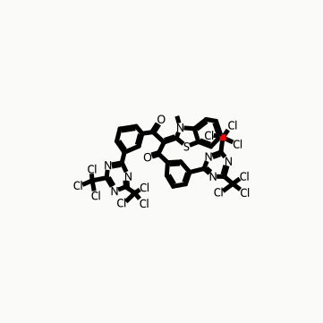 CN1C(=C(C(=O)c2cccc(-c3nc(C(Cl)(Cl)Cl)nc(C(Cl)(Cl)Cl)n3)c2)C(=O)c2cccc(-c3nc(C(Cl)(Cl)Cl)nc(C(Cl)(Cl)Cl)n3)c2)Sc2ccccc21